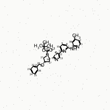 Cc1ccnc(Nc2cccc(-c3cnc([C@@H]4C[C@@H](OCc5ccccc5)CN4C(=O)OC(C)(C)C)s3)n2)c1